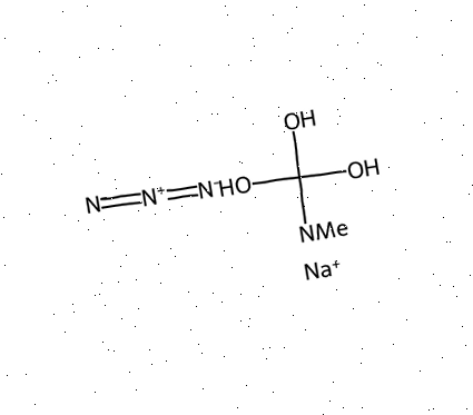 CNC(O)(O)O.[N-]=[N+]=[N-].[Na+]